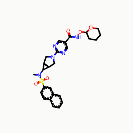 CN(C1C2CN(c3ncc(C(=O)NOC4CCCCO4)cn3)CC21)S(=O)(=O)c1ccc2ccccc2c1